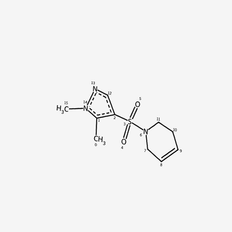 Cc1c(S(=O)(=O)N2CC=CCC2)cnn1C